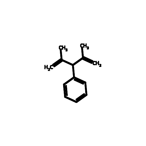 C=C(C)C(C(=C)C)c1ccccc1